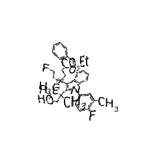 CCOC(=O)CC[C@@](C)(CCF)c1c(C(C)(C)CO)n(-c2ccc(F)c(C)c2)c2cccc(OCc3ccccc3)c12